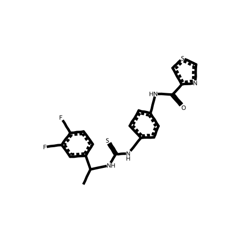 CC(NC(=S)Nc1ccc(NC(=O)c2cscn2)cc1)c1ccc(F)c(F)c1